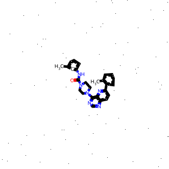 Cc1cccc(NC(=O)N2CCN(c3ncnc4ccc(-c5ccccc5C)nc34)CC2)c1